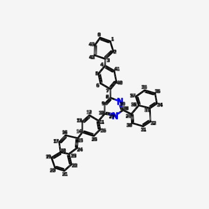 c1ccc(-c2ccc(-c3cc(-c4ccc(-c5ccc6ccccc6c5)cc4)nc(-c4cccc5ccccc45)n3)cc2)cc1